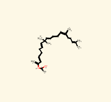 C=C(C=CCCC=CC(C)(C)CCCCC=C(C)CCC=C(C)C)OC(O)CCC